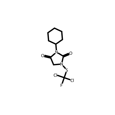 O=C1CN(SC(F)(Cl)Cl)C(=O)N1C1CCCCC1